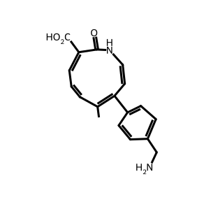 Cc1cccc(C(=O)O)c(=O)[nH]ccc1-c1ccc(CN)cc1